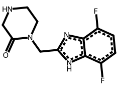 O=C1CNCCN1Cc1nc2c(F)ccc(F)c2[nH]1